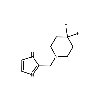 FC1(F)CCN(Cc2ncc[nH]2)CC1